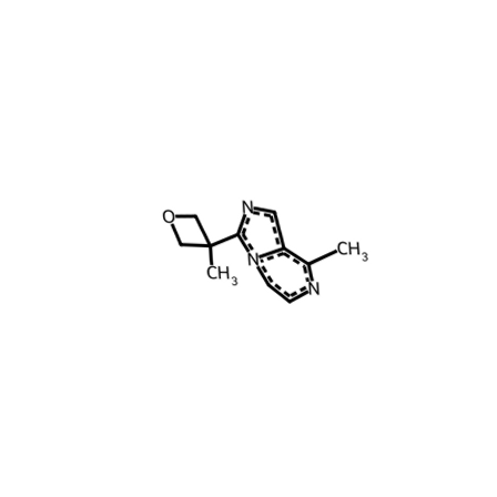 Cc1nccn2c(C3(C)COC3)ncc12